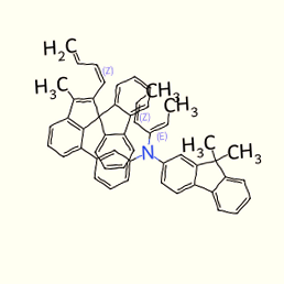 C=C/C=C\C1=C(C)c2cccc(-c3cccc(N(C(/C=C\C)=C/C)c4ccc5c(c4)C(C)(C)c4ccccc4-5)c3)c2C12c1ccccc1-c1ccccc12